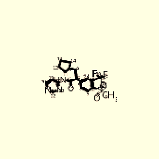 CS(=O)(=O)c1ccc(C(CC2CCCC2)C(=O)Nc2ccncn2)cc1C(F)(F)F